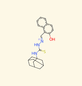 Oc1ccc2ccccc2c1/C=N/NC(=S)NC12CC3CC(CC(C3)C1)C2